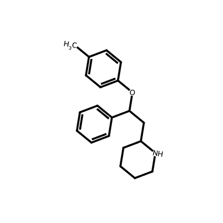 Cc1ccc(OC(CC2CCCCN2)c2ccccc2)cc1